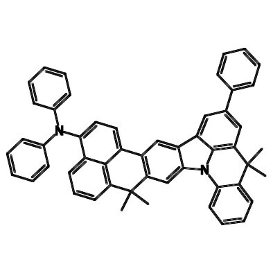 CC1(C)c2cc3c(cc2-c2ccc(N(c4ccccc4)c4ccccc4)c4cccc1c24)c1cc(-c2ccccc2)cc2c1n3-c1ccccc1C2(C)C